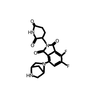 O=C1CCC(N2C(=O)c3c(N4CC5CC4CN5)cc(F)c(F)c3C2=O)C(=O)N1